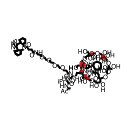 CC(=O)[C@H](C)NC(=O)[C@@H](NC(=O)[C@@H](CCCCNC(=O)COC1CCCCCc2c1nnn2CC1OC2OC3C(CO)OC(OC4C(CO)OC(OC5C(CO)OC(OC6C(CO)OC(OC7C(CO)OC(OC1C(O)C2O)C(O)C7O)C(O)C6O)C(O)C5O)C(O)C4O)C(O)C3O)NC(=O)CCOCCOCCOCCOCCNC(=O)CCC(=O)N1Cc2ccccc2-c2nnn(C)c2-c2ccccc21)C(C)C